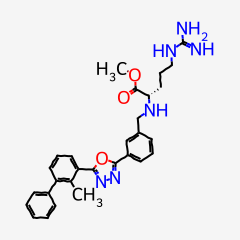 COC(=O)[C@H](CCCNC(=N)N)NCc1cccc(-c2nnc(-c3cccc(-c4ccccc4)c3C)o2)c1